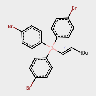 CC(C)(C)/C=C/[B-](c1ccc(Br)cc1)(c1ccc(Br)cc1)c1ccc(Br)cc1